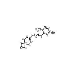 Nc1ncc(Br)cc1CNCCN1CCC2(CC1)COC2